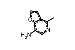 Cc1ncc(N)c2occc12